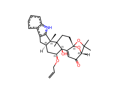 C=CCO[C@H]1C[C@H]2Cc3c([nH]c4ccccc34)[C@]2(C)C2(C)CC[C@@]34O[C@@H](C(=O)C=C3[C@]12O)C(C)(C)O4